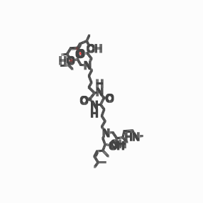 CN/C=C\C(C)C(O)CN(CCCCC1NC(=O)C(CCCCN(CC(O)O/C=C\C(C)C)CC(O)O/C=C\C(C)CC(C)C)NC1=O)CC(O)C(C)/C=C\C(C)C